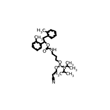 Cc1ccccc1CC(OC(=O)NCCCOP(OCCC#N)N(C(C)C)C(C)C)c1ccccc1C